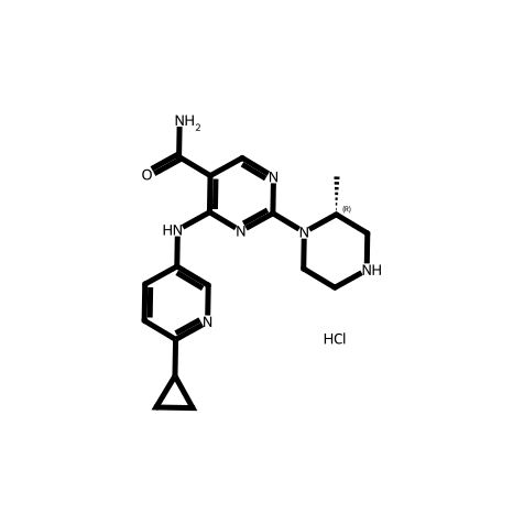 C[C@@H]1CNCCN1c1ncc(C(N)=O)c(Nc2ccc(C3CC3)nc2)n1.Cl